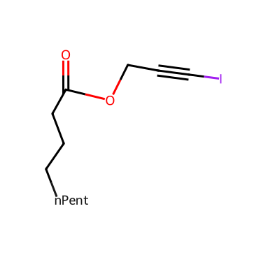 CCCCCCCCC(=O)OCC#CI